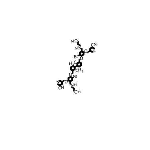 Cc1c(COc2cc(OCc3cncc(C#N)c3)c(CNCCCO)cc2Br)cccc1-c1cccc(COc2cc(OCc3cncc(C#N)c3)c(CNCCCO)cc2Br)c1C